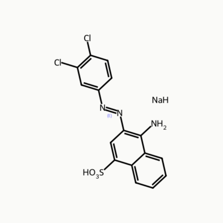 Nc1c(/N=N/c2ccc(Cl)c(Cl)c2)cc(S(=O)(=O)O)c2ccccc12.[NaH]